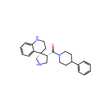 O=C([C@@H]1CNC[C@]12CCNc1ccccc12)N1CCC(c2ccccc2)CC1